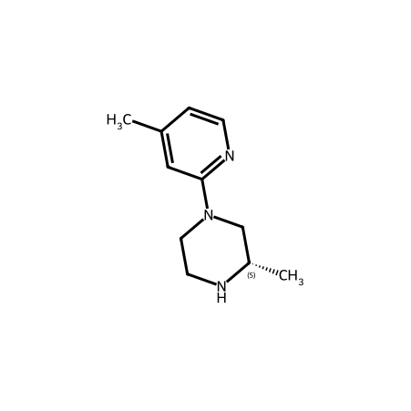 Cc1ccnc(N2CCN[C@@H](C)C2)c1